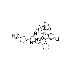 C[C@@H]1CCN(c2cc(N3CC(N)C3)n3nc([C@@H]4CCCCN4C(=O)c4cc(Cl)ccc4NS(C)(=O)=O)cc3n2)C1